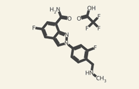 CNCc1ccc(-n2cc3cc(F)cc(C(N)=O)c3n2)cc1F.O=C(O)C(F)(F)F